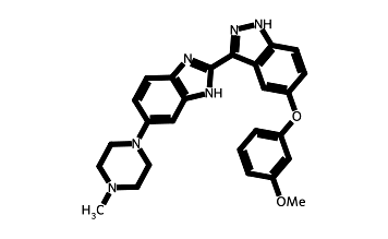 COc1cccc(Oc2ccc3[nH]nc(-c4nc5ccc(N6CCN(C)CC6)cc5[nH]4)c3c2)c1